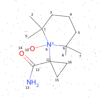 CC1(C)CCCC(C)(C)[N+]1([O])C1(C(N)=O)CC1